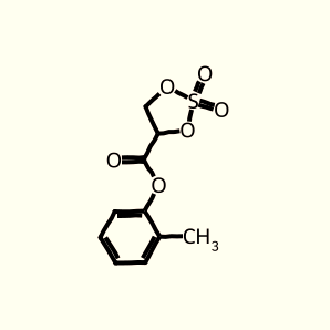 Cc1ccccc1OC(=O)C1COS(=O)(=O)O1